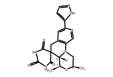 C[C@@H]1CN2c3cnc(-c4ccn[nH]4)cc3CC3(C(=O)NC(=O)NC3=O)[C@H]2[C@H](C)O1